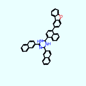 c1ccc2cc(C3=NC(c4ccc5ccccc5c4)NC(c4ccc(-c5ccc6oc7ccccc7c6c5)c5ccccc45)N3)ccc2c1